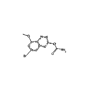 COc1cc(Br)cc2cc(OC(N)=O)nnc12